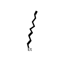 C=CCCCCC=CC=CCC